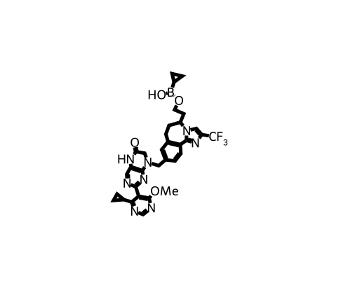 COc1ncnc(C2CC2)c1-c1ncc2c(n1)N(Cc1ccc3c(c1)CCC(CCOB(O)C1CC1)n1cc(C(F)(F)F)nc1-3)CC(=O)N2